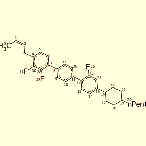 C/C=C\Cc1ccc(-c2ccc(-c3ccc(C4CCC(CCCCC)CC4)cc3F)cc2)c(F)c1F